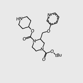 CC(C)(C)OC(=O)N1CCN(C(=O)OC2CCNCC2)C(COc2cccnc2)C1